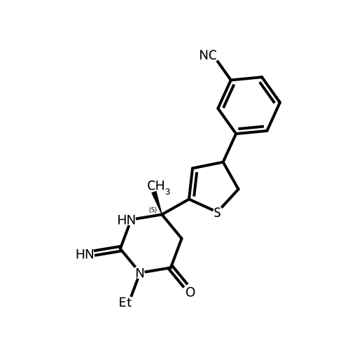 CCN1C(=N)N[C@](C)(C2=CC(c3cccc(C#N)c3)CS2)CC1=O